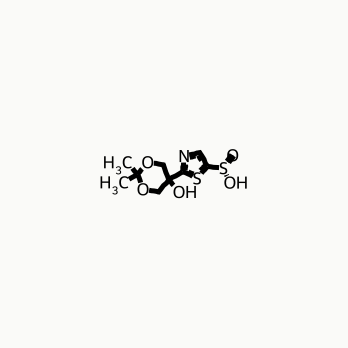 CC1(C)OCC(O)(c2ncc(S(=O)O)s2)CO1